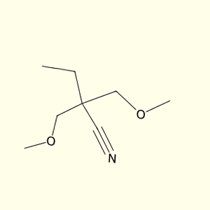 CCC(C#N)(COC)COC